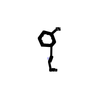 CO/C=C/c1cccc(C#N)c1